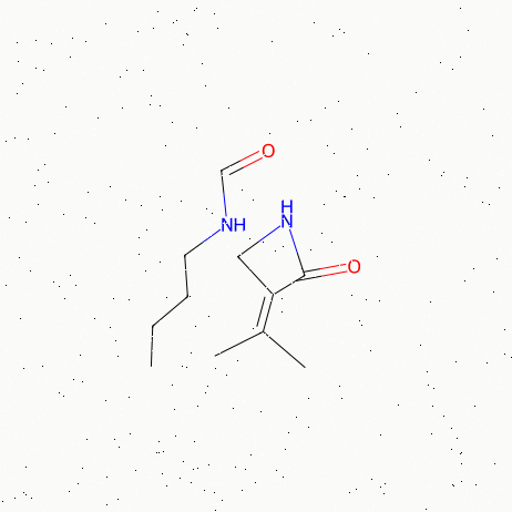 CC(C)=C1CNC1=O.CCCCNC=O